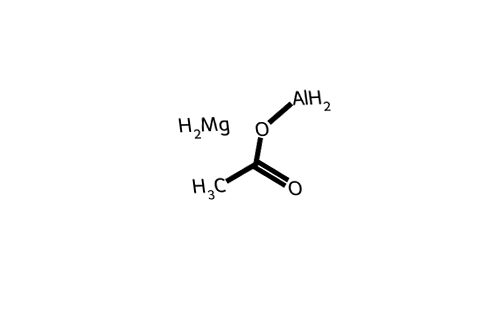 CC(=O)[O][AlH2].[MgH2]